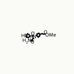 COC(=O)CCc1ccc(N2CC(C(N)=O)N(C3CCNCC3)C2=O)cc1